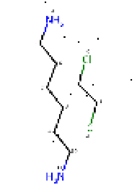 ClCCCl.NCCCCCCN